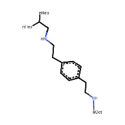 CCCCCCCCNCCc1ccc(CCNCC(CCCCCC)CCCCCC)cc1